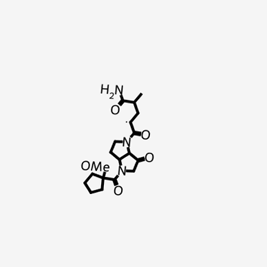 COC1(C(=O)N2CC(=O)C3C2CCN3C(=O)[CH]CC(C)C(N)=O)CCCC1